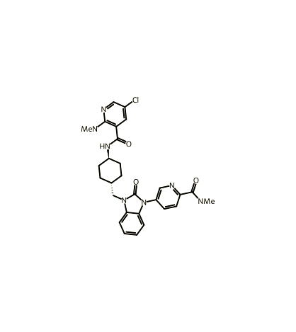 CNC(=O)c1ccc(-n2c(=O)n(C[C@H]3CC[C@H](NC(=O)c4cc(Cl)cnc4NC)CC3)c3ccccc32)cn1